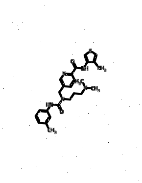 Cc1cccc(NC(=O)N(CCCN(C)C)Cc2ccc(C(=O)Nc3cscc3N)nc2)c1